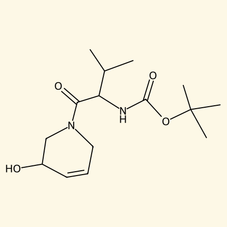 CC(C)C(NC(=O)OC(C)(C)C)C(=O)N1CC=CC(O)C1